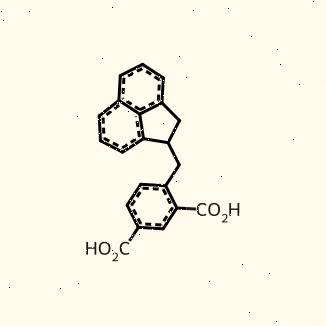 O=C(O)c1ccc(CC2Cc3cccc4cccc2c34)c(C(=O)O)c1